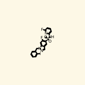 O=S(=O)(Nc1cccc(F)n1)c1cc2cnn(Cc3ccccc3I)c2cc1F